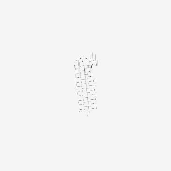 ClC(Cl)(Cl)C(Cl)(Cl)C(Cl)(Cl)C(Cl)(Cl)C(Cl)(Cl)C(Cl)(Cl)C(Cl)(Cl)C(Cl)(Cl)C(Cl)(Cl)C(Cl)(Cl)C1(Cl)C(Cl)(Cl)C(Cl)(Cl)C(Cl)(Cl)C1(Cl)Cl